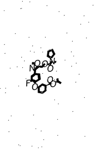 CC(C)OC(=O)[C@H]1CCC[C@H](Oc2ccc(-c3ncoc3COC(=O)N(C)C3CCCC3)cc2F)C1